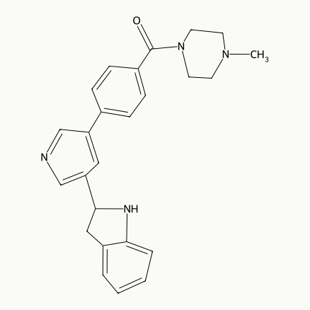 CN1CCN(C(=O)c2ccc(-c3cncc(C4Cc5ccccc5N4)c3)cc2)CC1